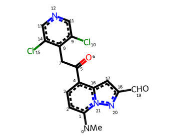 CNc1ccc(C(=O)Cc2c(Cl)cncc2Cl)c2cc(C=O)nn12